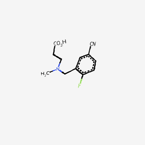 CN(CCC(=O)O)Cc1cc(C#N)ccc1F